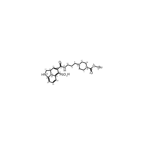 CC(C)(C)OC(=O)N1CCN(CCCNC(=O)C2=CC3CNC4=CC=CC(=C2S(=O)(=O)O)N43)CC1